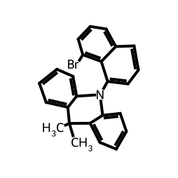 CC1(C)c2ccccc2N(c2cccc3cccc(Br)c23)c2ccccc21